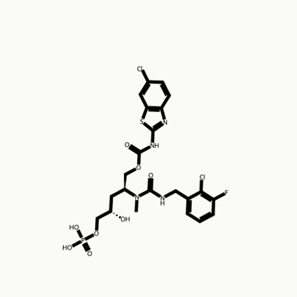 CN(C(=O)NCc1cccc(F)c1Cl)[C@H](COC(=O)Nc1nc2ccc(Cl)cc2s1)C[C@H](O)COP(=O)(O)O